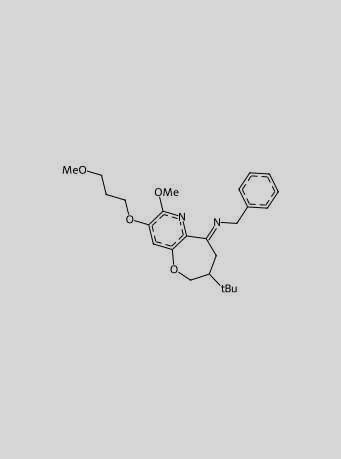 COCCCOc1cc2c(nc1OC)/C(=N/Cc1ccccc1)CC(C(C)(C)C)CO2